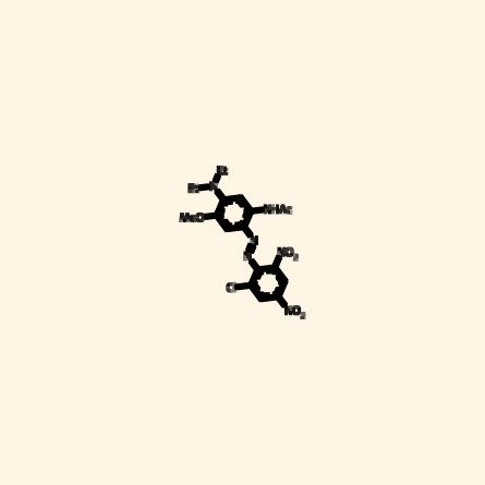 CCN(CC)c1cc(NC(C)=O)c(N=Nc2c(Cl)cc([N+](=O)[O-])cc2[N+](=O)[O-])cc1OC